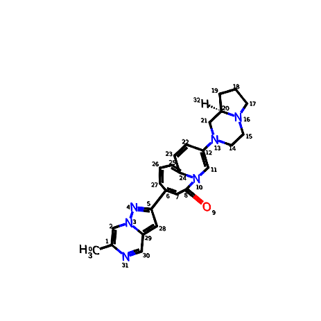 Cc1cn2nc(C3=C\C(=O)N4C=C(N5CCN6CCC[C@@H]6C5)C=C\C4=C/C=C/3)cc2cn1